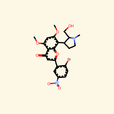 COc1cc(OC)c2c(=O)cc(-c3cc([N+](=O)[O-])ccc3Br)oc2c1C1CCN(C)C1CO